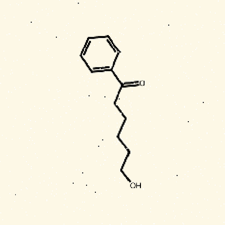 O=C(CCCCCO)c1ccccc1